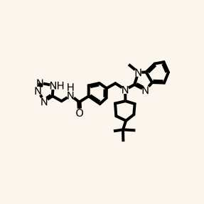 Cn1c(N(Cc2ccc(C(=O)NCc3nnn[nH]3)cc2)C2CCC(C(C)(C)C)CC2)nc2ccccc21